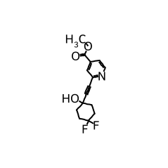 COC(=O)c1ccnc(C#CC2(O)CCC(F)(F)CC2)c1